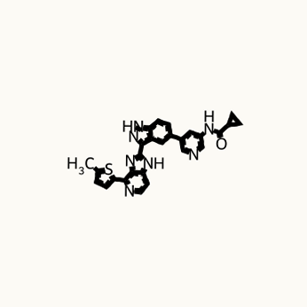 Cc1ccc(-c2nccc3[nH]c(-c4n[nH]c5ccc(-c6cncc(NC(=O)C7CC7)c6)cc45)nc23)s1